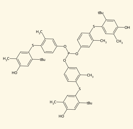 Cc1cc(Sc2ccc(OP(Oc3ccc(Sc4cc(C)c(O)cc4C(C)(C)C)c(C)c3)Oc3ccc(Sc4cc(C)c(O)cc4C(C)(C)C)c(C)c3)cc2C)c(C(C)(C)C)cc1O